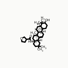 CC1(C)CC[C@]2(NC(=O)C3CCOC3)CC[C@]3(C)C(=CC[C@H]4C3CC[C@H]3C(C)(C)[C@@H](O)CC[C@]43C)[C@@H]2C1